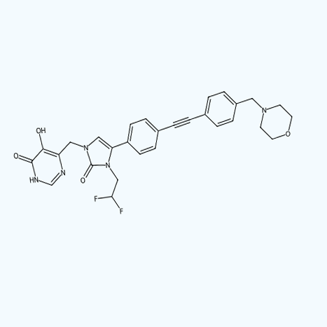 O=c1[nH]cnc(Cn2cc(-c3ccc(C#Cc4ccc(CN5CCOCC5)cc4)cc3)n(CC(F)F)c2=O)c1O